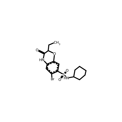 CCC1Oc2cc(S(=O)(=O)NC3CCCCC3)c(Br)cc2NC1=O